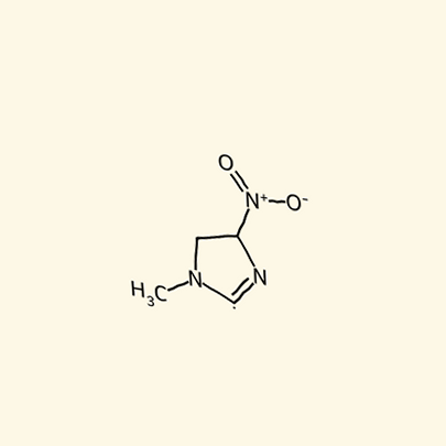 CN1[C]=NC([N+](=O)[O-])C1